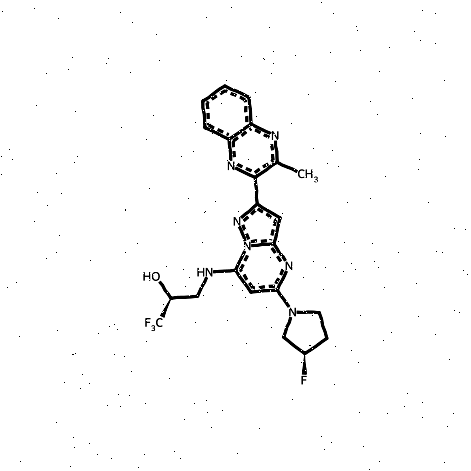 Cc1nc2ccccc2nc1-c1cc2nc(N3CC[C@@H](F)C3)cc(NC[C@H](O)C(F)(F)F)n2n1